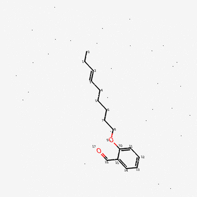 CCC=CCCCCCOc1ccccc1C=O